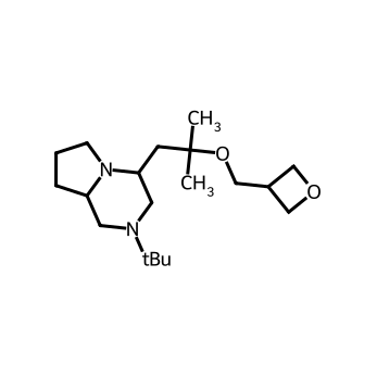 CC(C)(CC1CN(C(C)(C)C)CC2CCCN21)OCC1COC1